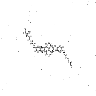 C=CCCCCCCOc1ccc(CCc2cccc(-c3nc4cc(OCCOCCOC(=O)C=C)ccc4nc3-c3cccc(OC)c3)c2)cc1